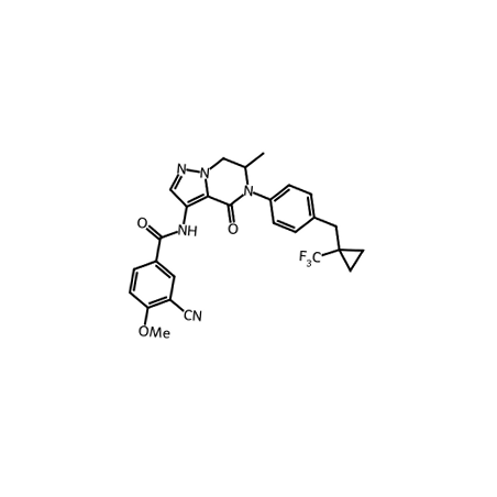 COc1ccc(C(=O)Nc2cnn3c2C(=O)N(c2ccc(CC4(C(F)(F)F)CC4)cc2)C(C)C3)cc1C#N